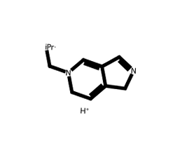 C[C](C)CN1C=C2C=NCC2=CC1.[H+]